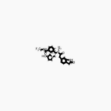 CN(C(=O)Cc1ccc2c(c1)NC(=O)C2)[C@H](CN1CC[C@@H](O)C1)c1cccc(C(=O)NCC(F)(F)F)c1